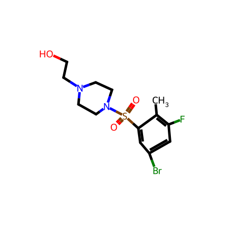 Cc1c(F)cc(Br)cc1S(=O)(=O)N1CCN(CCO)CC1